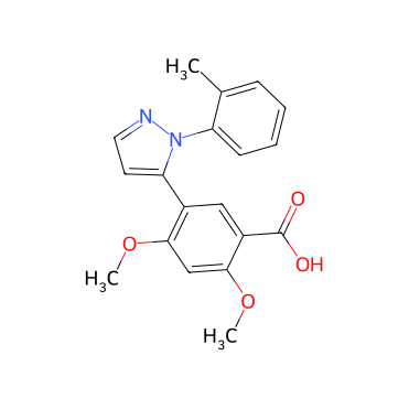 COc1cc(OC)c(-c2ccnn2-c2ccccc2C)cc1C(=O)O